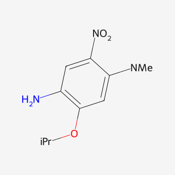 CNc1cc(OC(C)C)c(N)cc1[N+](=O)[O-]